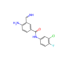 N=Cc1cc(C(=O)Nc2ccc(F)c(Cl)c2)ccc1N